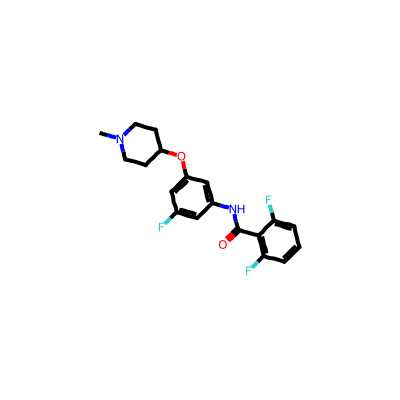 CN1CCC(Oc2cc(F)cc(NC(=O)c3c(F)cccc3F)c2)CC1